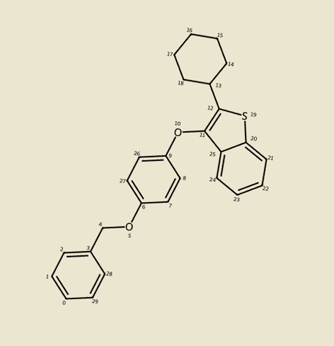 c1ccc(COc2ccc(Oc3c(C4CCCCC4)sc4ccccc34)cc2)cc1